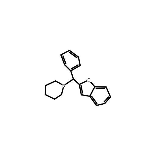 c1ccc(C(c2cc3ccccc3o2)N2CCCCC2)cc1